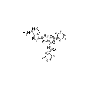 Nc1ncnc2c1ncn2[C@H]1C[C@H](OC(=O)c2ccccc2)[C@H](COC(=O)c2ccccc2)O1